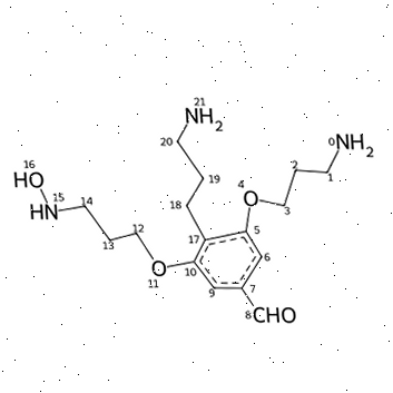 NCCCOc1cc(C=O)cc(OCCCNO)c1CCCN